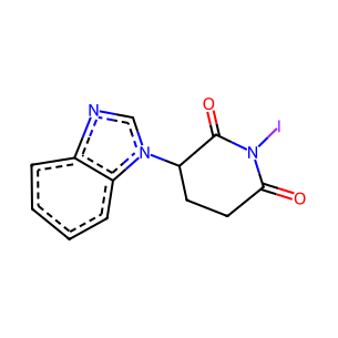 O=C1CCC(n2cnc3ccccc32)C(=O)N1I